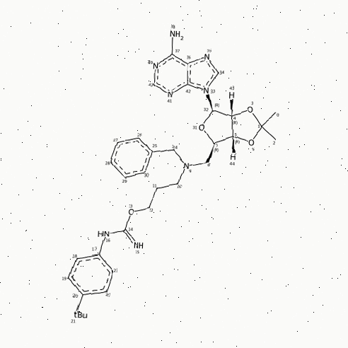 CC1(C)O[C@@H]2[C@H](O1)[C@@H](CN(CCCOC(=N)Nc1ccc(C(C)(C)C)cc1)Cc1ccccc1)O[C@H]2n1cnc2c(N)ncnc21